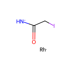 [NH-]C(=O)CI.[Rh]